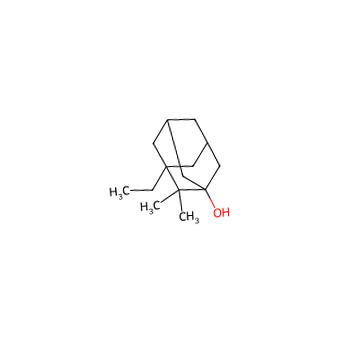 CCC12CC3CC(CC(O)(C3)C1(C)C)C2